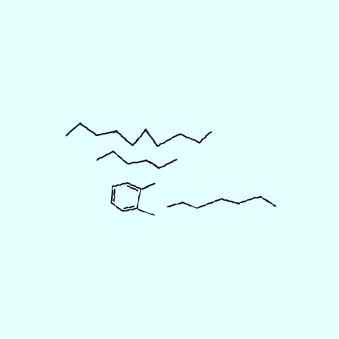 CCCCCC.CCCCCCC.CCCCCCCCCC.Cc1ccccc1C